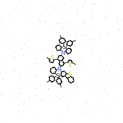 Cc1ccc([Si]2(c3ccc(C)cc3)c3ccccc3N(c3cc(-c4ccc(C)s4)c4cc(N5c6ccccc6[Si](c6ccc(C)cc6)(c6ccc(C)cc6)c6cc7c(cc65)sc5ccccc57)cc(-c5ccc(C)s5)c4c3)c3ccccc32)cc1